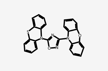 c1ccc2c(c1)Oc1ccccc1N2c1noc(N2c3ccccc3Sc3ccccc32)n1